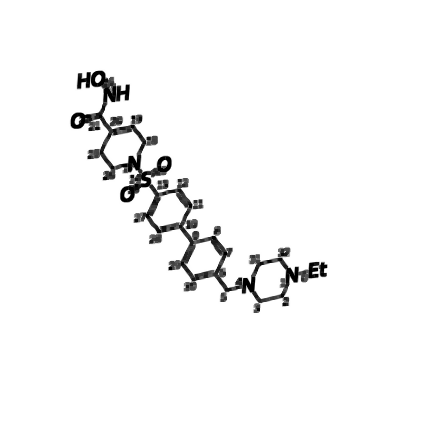 CCN1CCN(Cc2ccc(-c3ccc(S(=O)(=O)N4CC=C(C(=O)NO)CC4)cc3)cc2)CC1